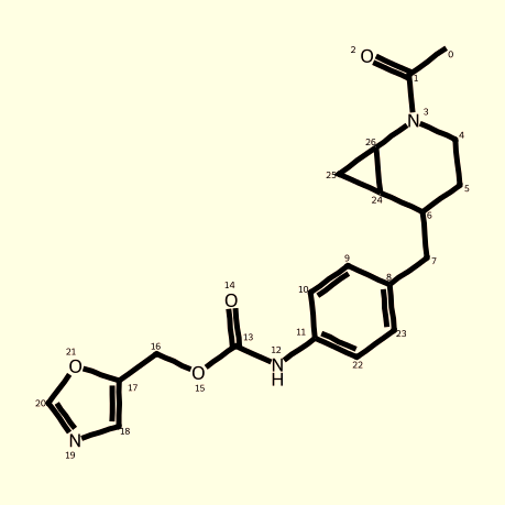 CC(=O)N1CCC(Cc2ccc(NC(=O)OCc3cnco3)cc2)C2CC21